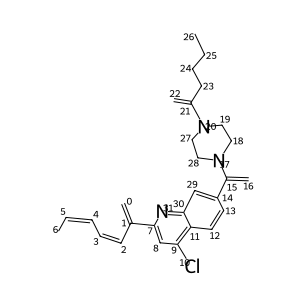 C=C(/C=C\C=C/C)c1cc(Cl)c2ccc(C(=C)N3CCN(C(=C)CCCC)CC3)cc2n1